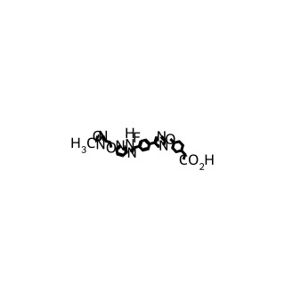 Cc1nc(COc2ccc3nc(-c4ccc(-c5cnc(OC6CCC(CC(=O)O)CC6)nc5)cc4F)[nH]c3n2)no1